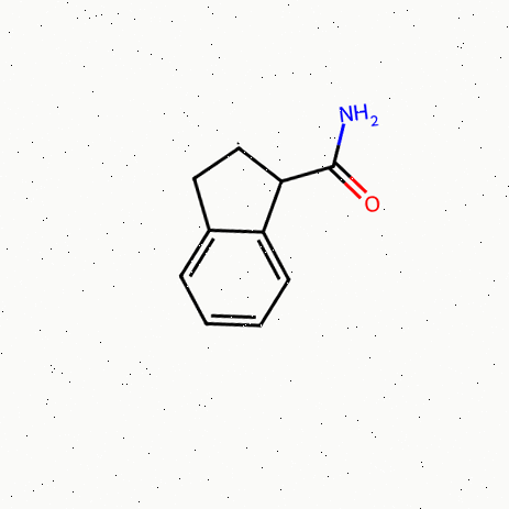 NC(=O)C1[CH]Cc2ccccc21